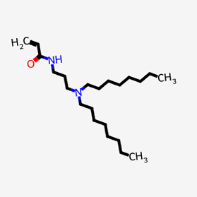 C=CC(=O)NCCCN(CCCCCCCC)CCCCCCCC